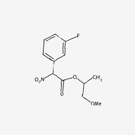 COCC(C)OC(=O)C(c1cccc(F)c1)[N+](=O)[O-]